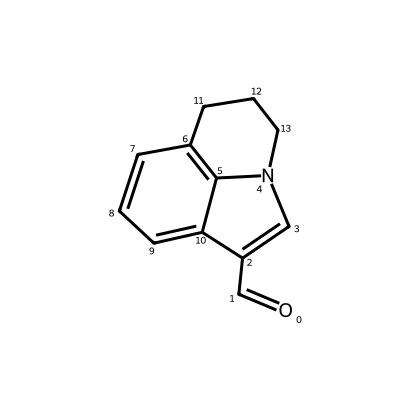 O=Cc1cn2c3c(cccc13)CCC2